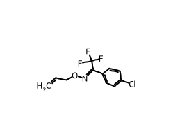 C=CCON=C(c1ccc(Cl)cc1)C(F)(F)F